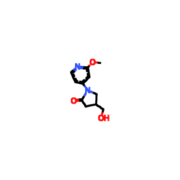 COc1cc(N2CC(CO)CC2=O)ccn1